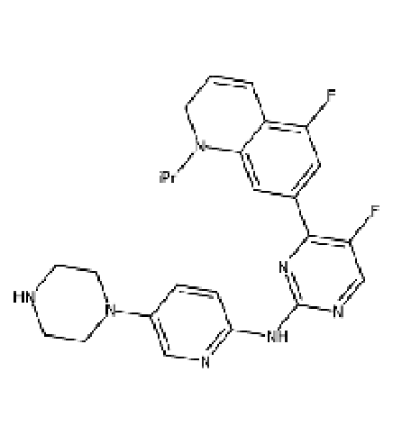 CC(C)N1CC=Cc2c(F)cc(-c3nc(Nc4ccc(N5CCNCC5)cn4)ncc3F)cc21